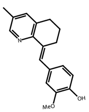 COc1cc(C=C2CCCc3cc(C)cnc32)ccc1O